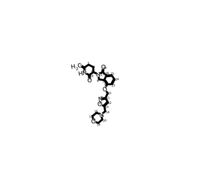 C=C1CCC(N2Cc3c(OCc4cc(CN5CCOCC5)on4)cccc3C2=O)C(=O)N1